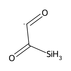 O=[C]C(=O)[SiH3]